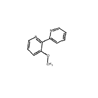 COc1cccnc1-c1ccccn1